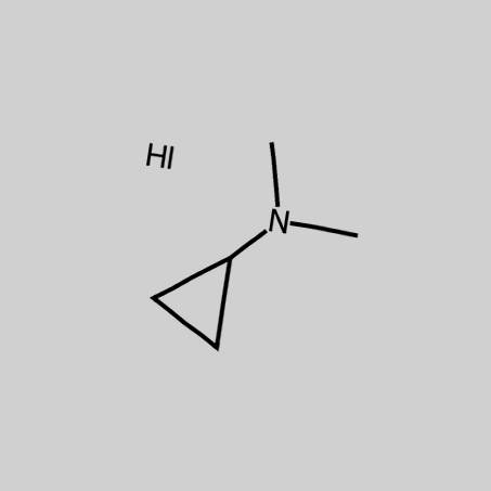 CN(C)C1CC1.I